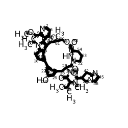 CCn1c(-c2cccnc2[C@H](C)OC)c2c3cc(ccc31)-c1cc(O)cc(c1)C[C@H](NC(=O)C(C(C)C)N(C)C(=O)C1Cc3nccn3C1)C(=O)N1CCC[C@H](N1)C(=O)OCC(C)(C)C2